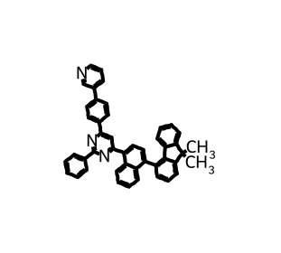 CC1(C)c2ccccc2-c2c(-c3ccc(-c4cc(-c5ccc(-c6cccnc6)cc5)nc(-c5ccccc5)n4)c4ccccc34)cccc21